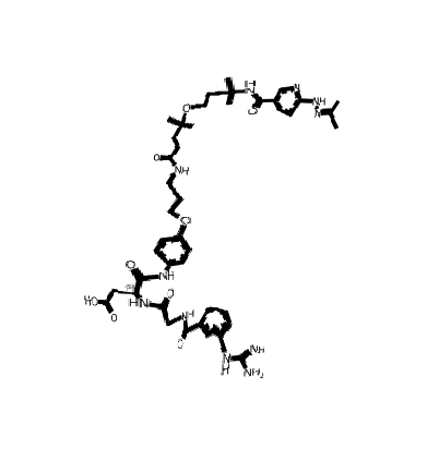 CC(C)=NNc1ccc(C(=O)NC(C)(C)CCOC(C)(C)CCC(=O)NCCCOc2ccc(NC(=O)[C@H](CC(=O)O)NC(=O)CNC(=O)c3cccc(NC(=N)N)c3)cc2)cn1